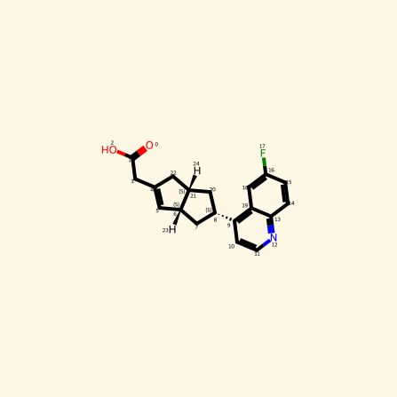 O=C(O)CC1=C[C@H]2C[C@@H](c3ccnc4ccc(F)cc34)C[C@H]2C1